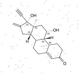 C#C[C@]1(O)C(=C)C[C@H]2C3CCC4=CC(=O)CC[C@]4(C)[C@H]3[C@@H](O)C[C@@]21C